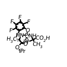 CC(C)OC(=O)[C@H](C)NP(=O)(NC(C)(C(=O)O)C(C)C)Oc1c(F)c(F)c(F)c(F)c1F